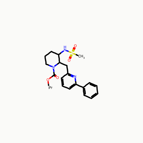 CC(C)OC(=O)N1CCCC(NS(C)(=O)=O)C1Cc1cccc(-c2ccccc2)n1